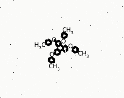 Cc1ccc(Oc2ccc(-c3ccc(Oc4ccc(C)cc4)cc3-c3ccc(Oc4ccc(C)cc4)cc3Oc3ccc(C)cc3)cc2)cc1